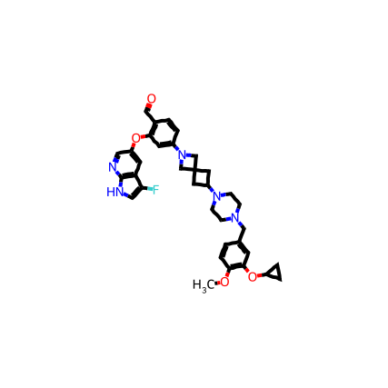 COc1ccc(CN2CCN(C3CC4(C3)CN(c3ccc(C=O)c(Oc5cnc6[nH]cc(F)c6c5)c3)C4)CC2)cc1OC1CC1